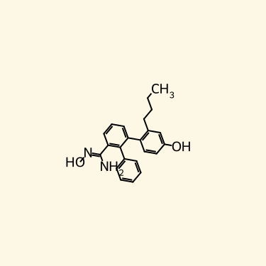 CCCCc1cc(O)ccc1-c1cccc(/C(N)=N/O)c1-c1ccccc1